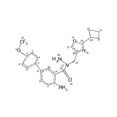 Nc1ccc(-c2ccc(OC(F)(F)F)cc2)cc1C(=O)N(N)Cc1coc(C2CCC2)n1